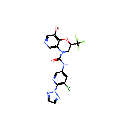 O=C(Nc1cnc(-n2nccn2)c(Cl)c1)N1CC(C(F)(F)F)Oc2c(Br)cncc21